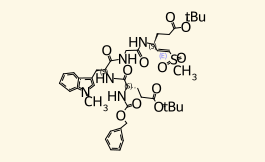 Cn1cc(C[C@H](NC(=O)[C@H](CCC(=O)OC(C)(C)C)NC(=O)OCc2ccccc2)C(=O)NCC(=O)N[C@H](/C=C/S(C)(=O)=O)CCC(=O)OC(C)(C)C)c2ccccc21